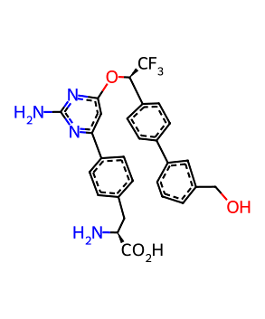 Nc1nc(O[C@H](c2ccc(-c3cccc(CO)c3)cc2)C(F)(F)F)cc(-c2ccc(C[C@H](N)C(=O)O)cc2)n1